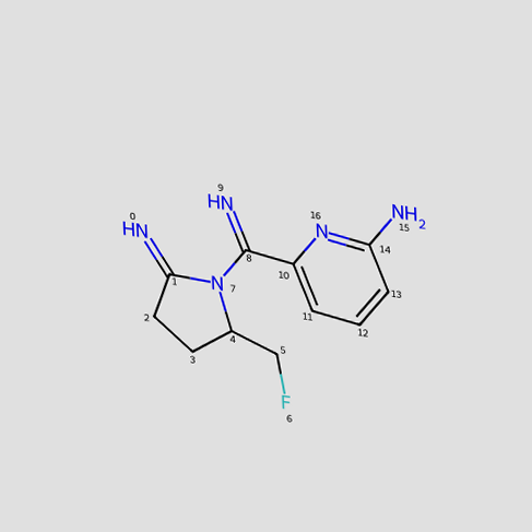 N=C1CCC(CF)N1C(=N)c1cccc(N)n1